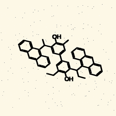 CCc1cc(-c2cc(C)c(O)c(C(C)c3c4ccccc4cc4ccccc34)c2)cc(C(CC)c2c3ccccc3cc3ccccc23)c1O